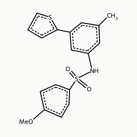 COc1ccc(S(=O)(=O)Nc2cc(C)cc(-c3cccs3)c2)cc1